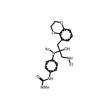 CCNCC(O)(Cc1cccc2c1OCCO2)N(C(C)=O)c1ccc(NC(=O)NC)cc1